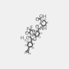 C[C@H](NC(=O)C(F)(F)F)[C@H](Oc1ccc(C(=O)N[C@H]2CCCN(C(=O)O)C2)nc1)c1ccc(C2CC2)cc1